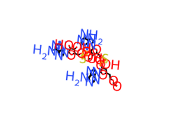 COC1C(COP(O)(=S)OC2CC(CCOC=O)OC2n2cnc3c(N)ncnc32)OC(n2cnc3c(N)ncnc32)C1OP(O)(=S)OCC1OC(n2cnc3c(N)ncnc32)C(O)C1O